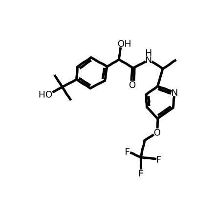 CC(NC(=O)C(O)c1ccc(C(C)(C)O)cc1)c1ccc(OCC(F)(F)F)cn1